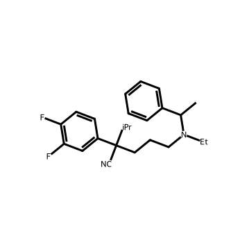 CCN(CCCC(C#N)(c1ccc(F)c(F)c1)C(C)C)C(C)c1ccccc1